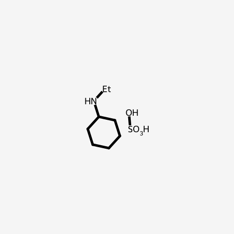 CCNC1CCCCC1.O=S(=O)(O)O